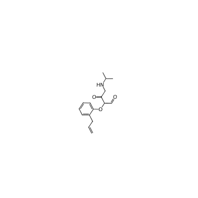 C=CCc1ccccc1OC(C=O)C(=O)CNC(C)C